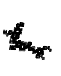 CCOc1cccc([C@@H](C)CC(=O)Nc2sc3c(c2C#N)CCN(C(=O)OCCn2cc(C)nc2C)C3)c1